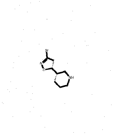 BrC1=NO[C@@H]([C@H]2CCCNC2)C1